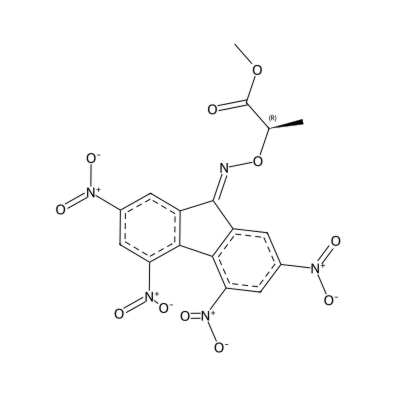 COC(=O)[C@@H](C)ON=C1c2cc([N+](=O)[O-])cc([N+](=O)[O-])c2-c2c1cc([N+](=O)[O-])cc2[N+](=O)[O-]